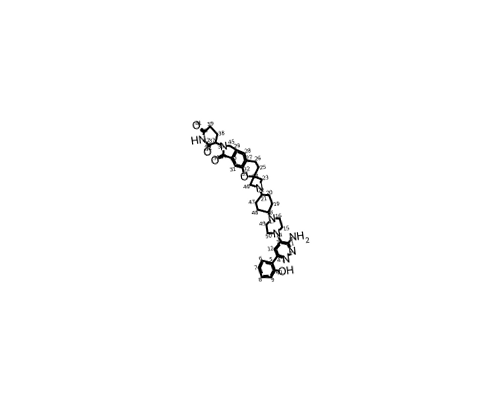 Nc1nnc(-c2ccccc2O)cc1N1CCN(C2CCC(N3CC4(CCc5cc6c(cc5O4)C(=O)N(C4CCC(=O)NC4=O)C6)C3)CC2)CC1